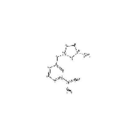 N=C(N)c1cccc(CN2CC[C@H](N)C2)c1